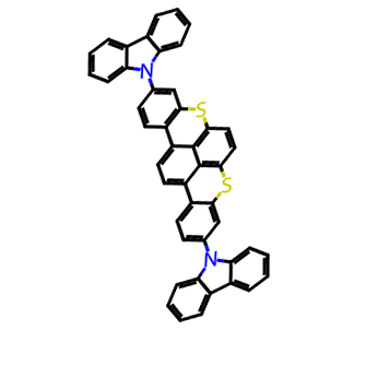 c1ccc2c(c1)c1ccccc1n2-c1ccc2c(c1)Sc1ccc3c4c(ccc-2c14)-c1ccc(-n2c4ccccc4c4ccccc42)cc1S3